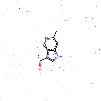 Cc1cc2[nH]cc(C=O)c2cn1